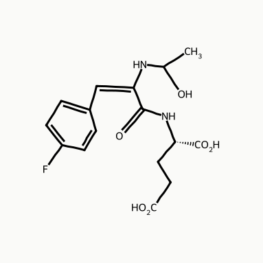 CC(O)N/C(=C/c1ccc(F)cc1)C(=O)N[C@@H](CCC(=O)O)C(=O)O